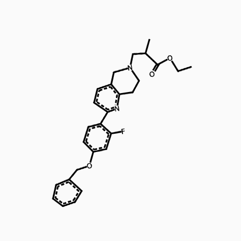 CCOC(=O)C(C)CN1CCc2nc(-c3ccc(OCc4ccccc4)cc3F)ccc2C1